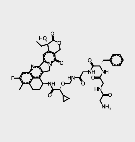 CC[C@@]1(O)C(=O)OCc2c1cc1n(c2=O)Cc2c-1nc1cc(F)c(C)c3c1c2[C@@H](NC(=O)[C@H](OCNC(=O)CNC(=O)[C@H](Cc1ccccc1)NC(=O)CNC(=O)CN)C1CC1)CC3